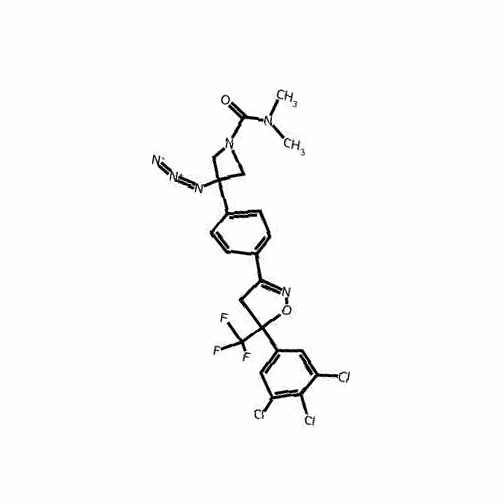 CN(C)C(=O)N1CC(N=[N+]=[N-])(c2ccc(C3=NOC(c4cc(Cl)c(Cl)c(Cl)c4)(C(F)(F)F)C3)cc2)C1